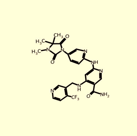 CN1C(=O)N(c2ccc(Nc3cc(NCc4cnccc4C(F)(F)F)c(C(N)=O)cn3)nc2)C(=O)C1(C)C